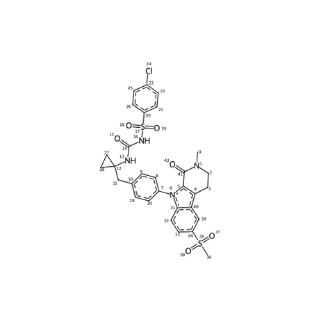 CN1CCc2c(n(-c3ccc(CC4(NC(=O)NS(=O)(=O)c5ccc(Cl)cc5)CC4)cc3)c3ccc(S(C)(=O)=O)cc23)C1=O